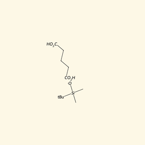 CC(C)(C)[Si](C)(C)[O].O=C(O)CCCC(=O)O